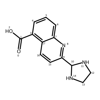 O=C(O)c1cccc2nc(C3NCCN3)ccc12